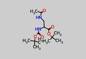 CC(=O)NCC(NC(=O)OC(C)(C)C)C(=O)OC(C)(C)C